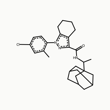 Cc1cc(Cl)ccc1-n1nc(C(=O)NC(C)C23CC4CC(CC(C4)C2)C3)c2c1CCCC2